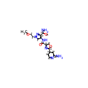 COCCn1cc(NC(=O)c2coc(-c3ccnc(N)c3)n2)c(C(N)=O)n1